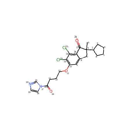 CC1(C2CCCC2)Cc2cc(OCCCC(=O)n3ccnc3)c(Cl)c(Cl)c2C1=O